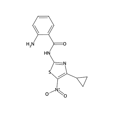 Nc1ccccc1C(=O)Nc1nc(C2CC2)c([N+](=O)[O-])s1